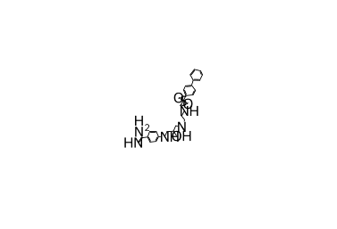 CN(CCNCS(=O)(=O)c1ccc(-c2ccccc2)cc1)CC(O)CNc1ccc(C(=N)N)cc1